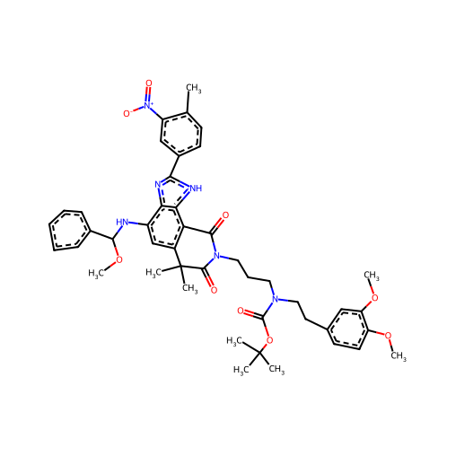 COc1ccc(CCN(CCCN2C(=O)c3c(cc(NC(OC)c4ccccc4)c4nc(-c5ccc(C)c([N+](=O)[O-])c5)[nH]c34)C(C)(C)C2=O)C(=O)OC(C)(C)C)cc1OC